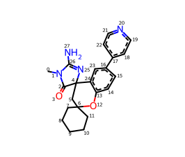 CN1C(=O)C2(CC3(CCCCC3)Oc3ccc(-c4ccncc4)cc32)N=C1N